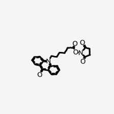 O=C(CCCCCn1c2ccccc2c(=O)c2ccccc21)ON1C(=O)CCC1=O